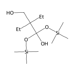 CCC(CC)(CO)C(O)(O[Si](C)(C)C)O[Si](C)(C)C